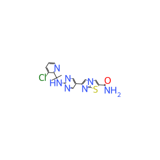 CC(C)(Nc1ncc(-c2cn3cc(C(N)=O)sc3n2)cn1)c1ncccc1Cl